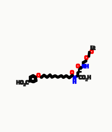 CCOCCOCCNC(=O)CC[C@H](NC(=O)CCCCCCCCCCCOc1ccc(C(=O)O)cc1)C(=O)O